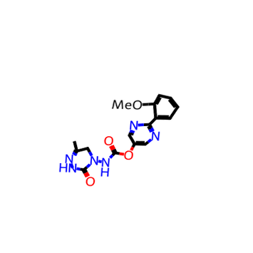 COc1ccccc1-c1ncc(OC(=O)NN2CC(C)=NNC2=O)cn1